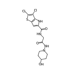 O=C(CNC(=O)c1cc2sc(Cl)c(Cl)c2[nH]1)NN1CCC(O)CC1